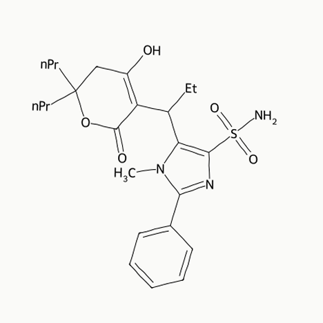 CCCC1(CCC)CC(O)=C(C(CC)c2c(S(N)(=O)=O)nc(-c3ccccc3)n2C)C(=O)O1